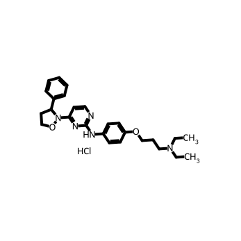 CCN(CC)CCCOc1ccc(Nc2nccc(N3OCCC3c3ccccc3)n2)cc1.Cl